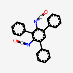 O=C=Nc1c(-c2ccccc2)cc(-c2ccccc2)c(N=C=O)c1-c1ccccc1